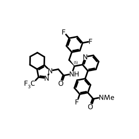 CNC(=O)c1cc(-c2cccnc2[C@H](Cc2cc(F)cc(F)c2)NC(=O)Cn2nc(C(F)(F)F)c3c2CCCC3)ccc1F